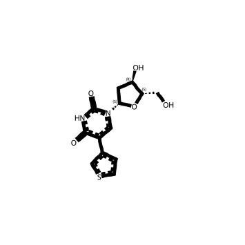 O=c1[nH]c(=O)n([C@@H]2C[C@@H](O)[C@H](CO)O2)cc1-c1ccsc1